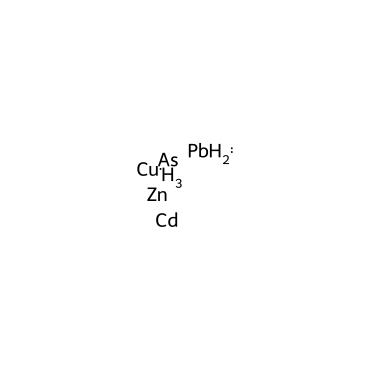 [AsH3].[Cd].[Cu].[PbH2].[Zn]